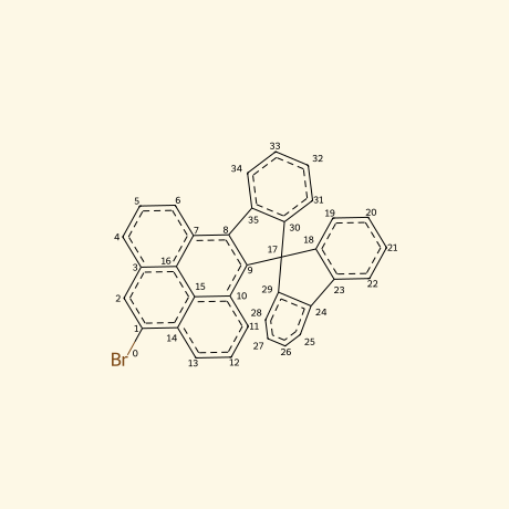 Brc1cc2cccc3c4c(c5cccc1c5c23)C1(c2ccccc2-c2ccccc21)c1ccccc1-4